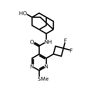 CSc1ncc(C(=O)NC2C3CC4CC2CC(O)(C4)C3)c(C2CC(F)(F)C2)n1